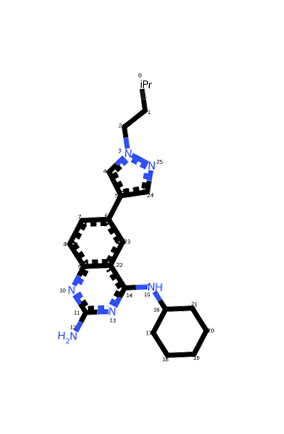 CC(C)CCn1cc(-c2ccc3nc(N)nc(NC4CCCCC4)c3c2)cn1